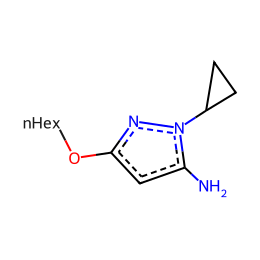 CCCCCCOc1cc(N)n(C2CC2)n1